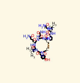 CC[C@H](C)[C@H]1NC(=O)[C@H](Cc2ccc(O)cc2)NC(=O)CCSSCC[C@H](C(=O)N2CCC[C@@H]2C(=O)N[C@@H](CC(C)C)C(=O)NCC(N)=O)NC(=O)[C@@H](CCC(N)=O)NC(=O)[C@@H](CCCC(N)=O)NC1=O